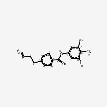 C=CCCc1ccc(C(=O)Oc2cc(F)c(C#N)c(F)c2)cc1